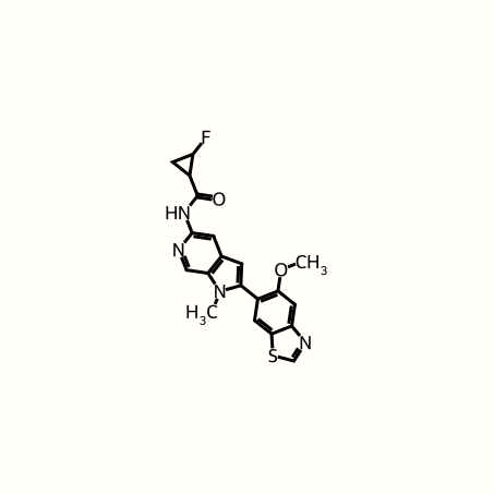 COc1cc2ncsc2cc1-c1cc2cc(NC(=O)C3CC3F)ncc2n1C